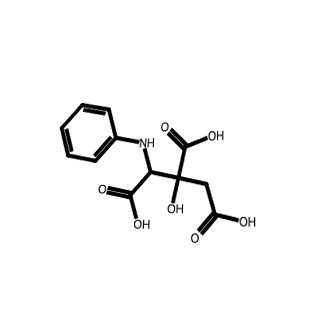 O=C(O)CC(O)(C(=O)O)C(Nc1ccccc1)C(=O)O